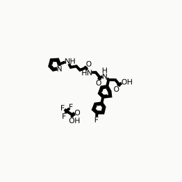 O=C(O)C(F)(F)F.O=C(O)CC(NC(=O)CNC(=O)CCCNc1ccccn1)c1ccc(-c2ccc(F)cc2)cc1